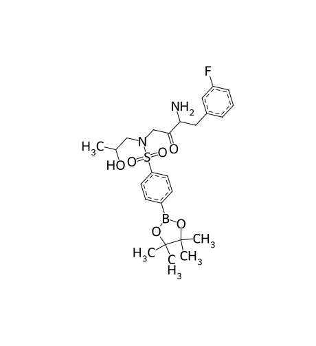 CC(O)CN(CC(=O)C(N)Cc1cccc(F)c1)S(=O)(=O)c1ccc(B2OC(C)(C)C(C)(C)O2)cc1